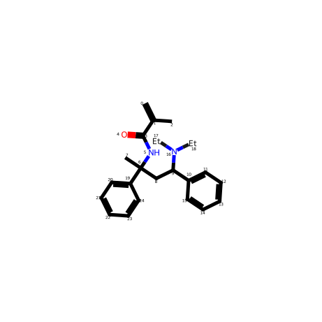 C=C(C)C(=O)NC(C)(CC(c1ccccc1)N(CC)CC)c1ccccc1